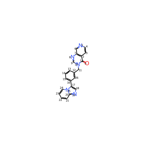 O=c1c2ccncc2ncn1Cc1cccc(-c2cnc3ccccn23)c1